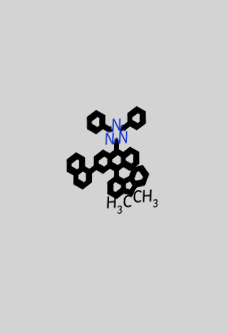 CC1(C)c2ccccc2-c2c(-c3c4ccccc4c(-c4nc(-c5ccccc5)nc(-c5ccccc5)n4)c4ccc(-c5cccc6ccccc56)cc34)cccc21